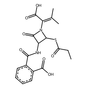 CCC(=O)SC1C(NC(=O)c2ccccc2C(=O)O)C(=O)N1C(C(=O)O)=C(C)C